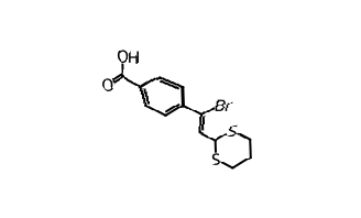 O=C(O)c1ccc(C(Br)=CC2SCCCS2)cc1